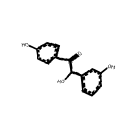 O=C(c1ccc(O)cc1)C(O)c1cccc(O)c1